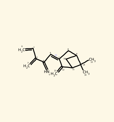 C=CC(=C)C(=N)/C=C1/CC2CC(C1=C)C2(C)C